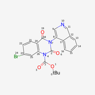 CC(C)(C)OC(=O)n1c(=O)n(-c2cncc3ccccc23)c(=O)c2ccc(Br)cc21